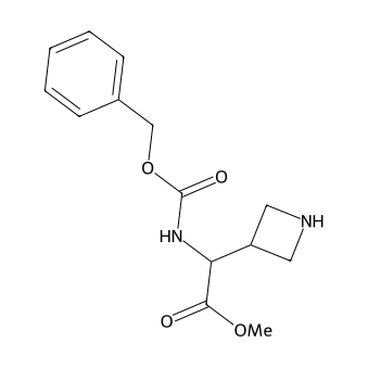 COC(=O)C(NC(=O)OCc1ccccc1)C1CNC1